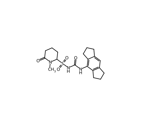 CN1C(=O)CCCC1S(=O)(=O)NC(=O)Nc1c2c(cc3c1CCC3)CCC2